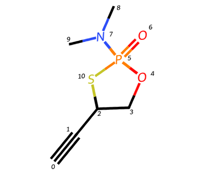 C#CC1COP(=O)(N(C)C)S1